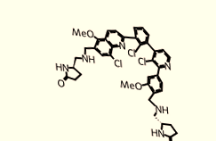 COc1cc(-c2nccc(-c3cccc(-c4ccc5c(OC)c(CNC[C@H]6CCC(=O)N6)cc(Cl)c5n4)c3Cl)c2Cl)ccc1CNC[C@@H]1CCC(=O)N1